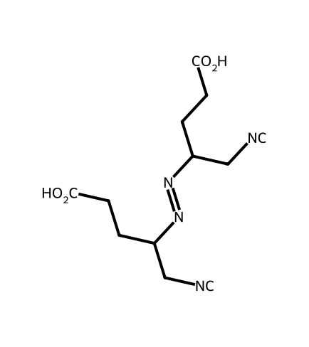 [C-]#[N+]CC(CCC(=O)O)N=NC(CCC(=O)O)C[N+]#[C-]